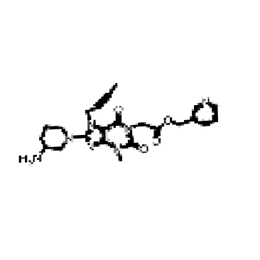 CC#CCn1c(N2CCCC(N)C2)nc2c1c(=O)n(CC(=O)OCc1cccnc1)c(=O)n2C